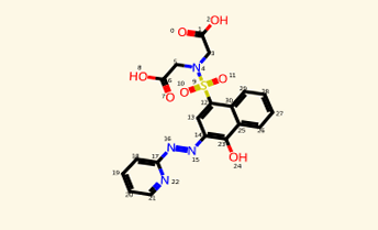 O=C(O)CN(CC(=O)O)S(=O)(=O)c1cc(N=Nc2ccccn2)c(O)c2ccccc12